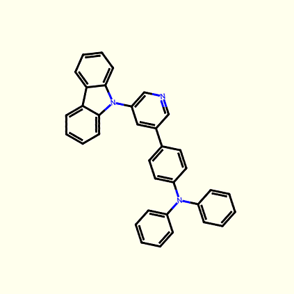 c1ccc(N(c2ccccc2)c2ccc(-c3cncc(-n4c5ccccc5c5ccccc54)c3)cc2)cc1